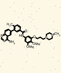 COc1cc(NC(=O)c2ccc(C)c(-c3ccc4ncnc(N)c4c3)c2)cc(OCCCN2CCN(C)CC2)c1OC